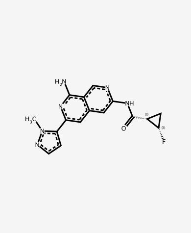 Cn1nccc1-c1cc2cc(NC(=O)[C@@H]3C[C@@H]3F)ncc2c(N)n1